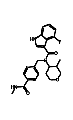 CNC(=O)c1ccc(CN(C(=O)c2c[nH]c3cccc(F)c23)C2CCOCC2C)cc1